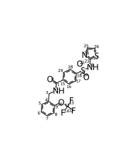 O=C(NCc1ccccc1OC(F)(F)F)c1ccc(S(=O)(=O)Nc2nccs2)cc1